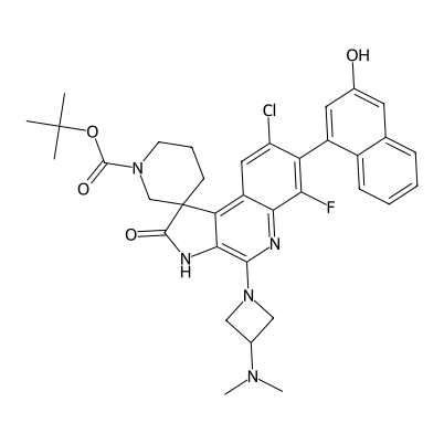 CN(C)C1CN(c2nc3c(F)c(-c4cc(O)cc5ccccc45)c(Cl)cc3c3c2NC(=O)C32CCCN(C(=O)OC(C)(C)C)C2)C1